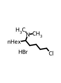 Br.CCCCCCC(CCCCCl)N(C)C